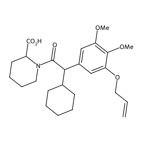 C=CCOc1cc(C(C(=O)N2CCCCC2C(=O)O)C2CCCCC2)cc(OC)c1OC